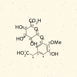 COc1c(O)cc(CC(=O)O)cc1OC1OC(C(=O)O)C(O)C(O)C1O